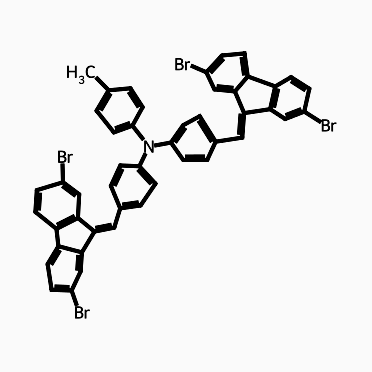 Cc1ccc(N(c2ccc(C=C3c4cc(Br)ccc4-c4ccc(Br)cc43)cc2)c2ccc(C=C3c4cc(Br)ccc4-c4ccc(Br)cc43)cc2)cc1